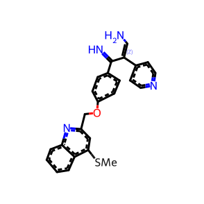 CSc1cc(COc2ccc(C(=N)/C(=C\N)c3ccncc3)cc2)nc2ccccc12